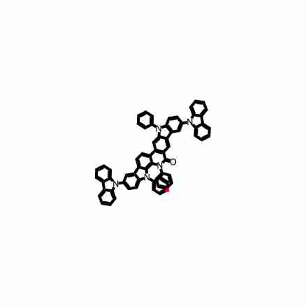 O=c1c2cc3c4cc(-n5c6ccccc6c6ccccc65)ccc4n(-c4ccccc4)c3cc2c2ccc3c4cc(-n5c6ccccc6c6ccccc65)ccc4n(-c4ccccc4)c3c2n1-c1ccccc1